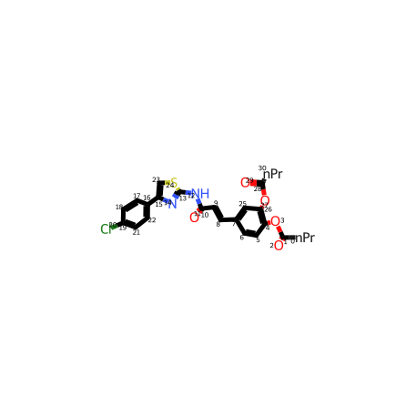 CCCC(=O)Oc1ccc(C=CC(=O)Nc2nc(-c3ccc(Cl)cc3)cs2)cc1OC(=O)CCC